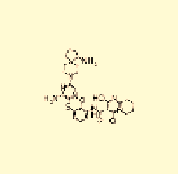 Nc1nc(N2CCC3(CCC[C@H]3N)CC2)cnc1Sc1cccc(NC(=O)c2c(O)nc3n(c2=O)CCCC3)c1Cl